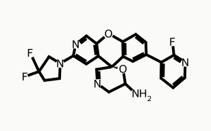 NC1CN=C[C@]2(O1)c1cc(-c3cccnc3F)ccc1Oc1cnc(N3CCC(F)(F)C3)cc12